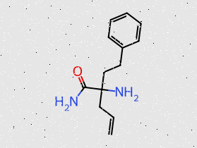 C=CCC(N)(CCc1ccccc1)C(N)=O